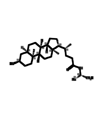 CC[C@@H](C)[C@H](NC(=O)CC[C@@H](C)[C@H]1CC[C@H]2[C@@H]3CC[C@@H]4C[C@H](O)CC[C@]4(C)[C@H]3CC[C@]12C)C(=O)O